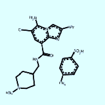 CCCCN1CCC(CNC(=O)c2cc(Cl)c(N)n3cc(CCC)nc23)CC1.Cc1ccc(S(=O)(=O)O)cc1